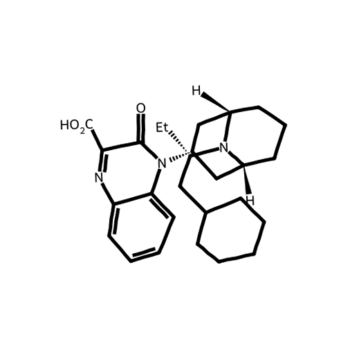 CC[C@@H](CC1CCCCC1)N1[C@@H]2CCC[C@H]1C[C@@H](n1c(=O)c(C(=O)O)nc3ccccc31)C2